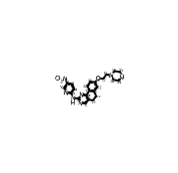 O=[N+]([O-])c1ccc(Nc2ncc3c(n2)-c2ccc(OCCN4CCOCC4)cc2CC3)nc1